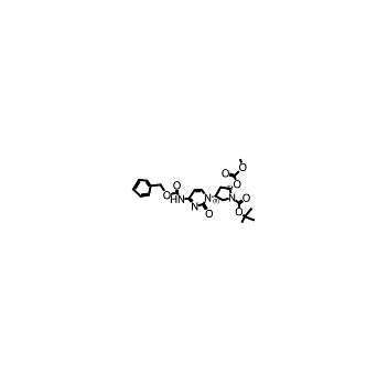 COC(=O)O[C@H]1C[C@@H](n2ccc(NC(=O)OCc3ccccc3)nc2=O)CN1C(=O)OC(C)(C)C